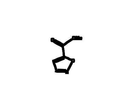 COC(=O)c1c[c]no1